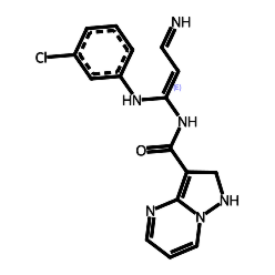 N=C/C=C(/NC(=O)C1=C2N=CC=CN2NC1)Nc1cccc(Cl)c1